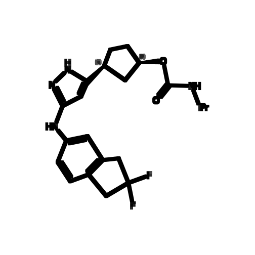 CC(C)NC(=O)O[C@@H]1CC[C@H](c2cc(Nc3ccc4c(c3)CC(F)(F)C4)n[nH]2)C1